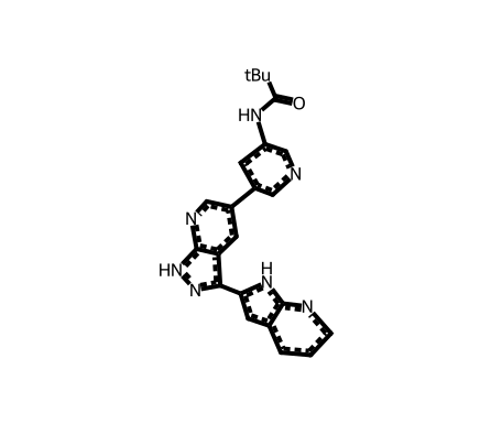 CC(C)(C)C(=O)Nc1cncc(-c2cnc3[nH]nc(-c4cc5cccnc5[nH]4)c3c2)c1